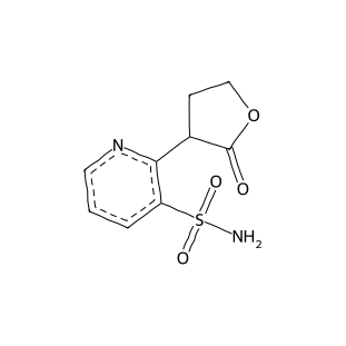 NS(=O)(=O)c1cccnc1C1CCOC1=O